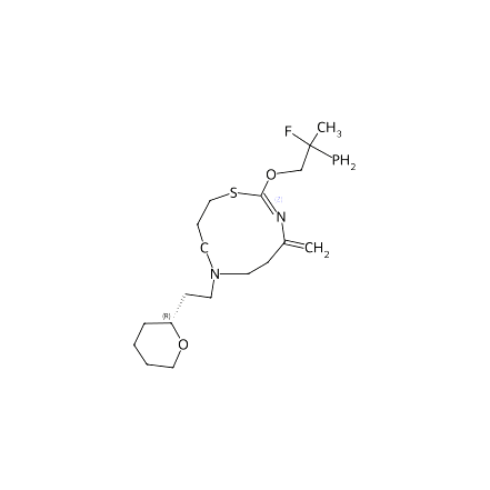 C=C1CCN(CC[C@H]2CCCCO2)CCCS/C(OCC(C)(F)P)=N\1